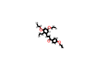 C=CCOc1ccc(C(=O)C=Cc2cc(OCCC)cc(OCCC)c2CCC)cc1